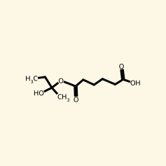 CCC(C)(O)OC(=O)CCCCC(=O)O